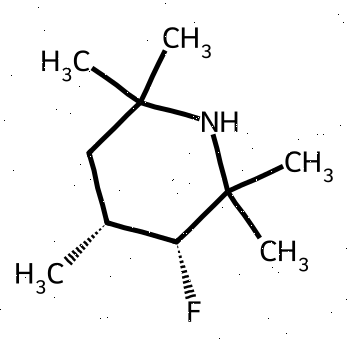 C[C@@H]1CC(C)(C)NC(C)(C)[C@@H]1F